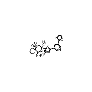 C[C@@]1(c2sc(-c3cncc(-c4ncco4)c3)cc2Cl)CS(=O)(=O)[C@@]2(CCOC2)C(=N)N1